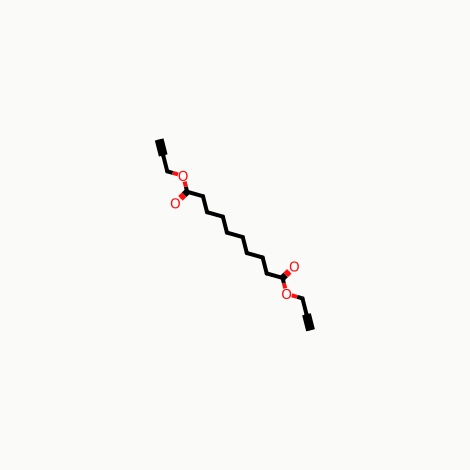 C#CCOC(=O)CCCCCCCCC(=O)OCC#C